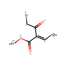 CCCC/C=C(\C(=O)CBr)C(=O)OCCC